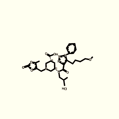 COCCCCc1c(C(=O)N(CC(C)C)[C@H]2C[C@@H](C(=O)O)CN(Cc3oc(=O)oc3C)C2)nnn1-c1ccccc1.Cl